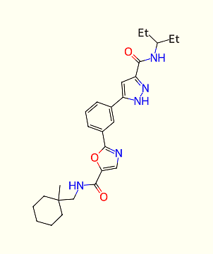 CCC(CC)NC(=O)c1cc(-c2cccc(-c3ncc(C(=O)NCC4(C)CCCCC4)o3)c2)[nH]n1